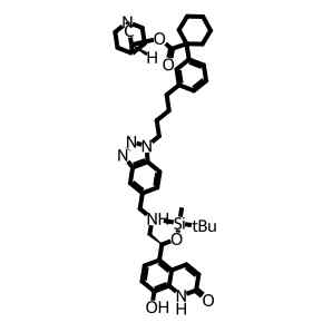 CC(C)(C)[Si](C)(C)O[C@H](CNCc1ccc2c(c1)nnn2CCCCc1cccc(C2(C(=O)O[C@H]3CN4CCC3CC4)CCCCC2)c1)c1ccc(O)c2[nH]c(=O)ccc12